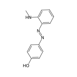 CNc1ccccc1/N=N/c1ccc(O)cc1